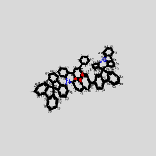 c1ccc(-c2cccc(-c3ccccc3N(c3ccc4cc(-c5ccc6c(c5)C5(c7ccccc7-6)c6ccccc6-n6c7ccccc7c7cccc5c76)ccc4c3)c3cccc4c3-c3ccccc3C43c4ccccc4-c4ccccc43)c2)cc1